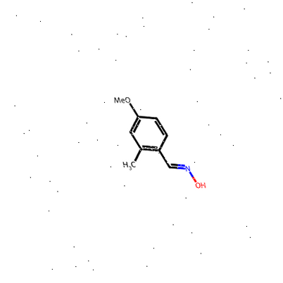 COc1ccc(/C=N/O)c(C)c1